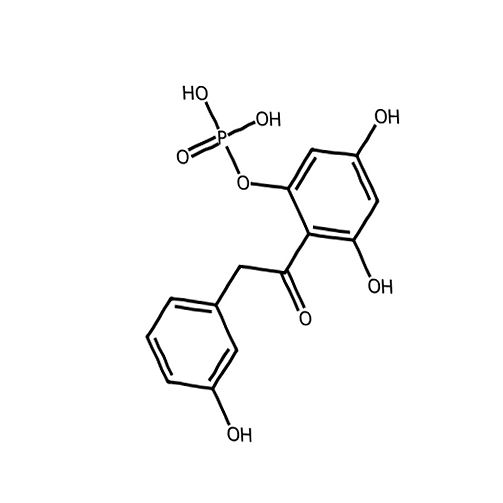 O=C(Cc1cccc(O)c1)c1c(O)cc(O)cc1OP(=O)(O)O